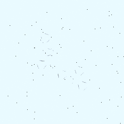 O=C(Nc1ccc(CN2CCc3nc(-c4ccccn4)[nH]c3-c3ccccc32)cc1)c1ccccc1-c1ccccc1